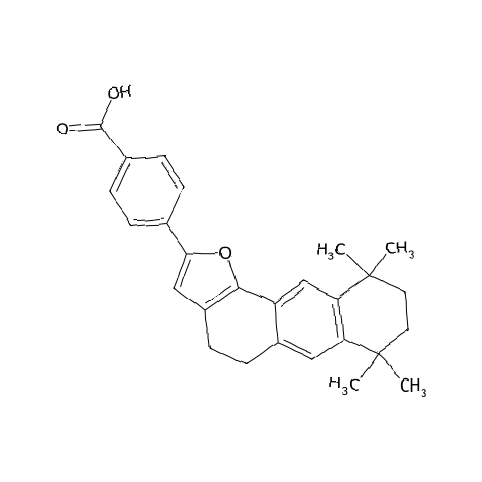 CC1(C)CCC(C)(C)c2cc3c(cc21)CCc1cc(-c2ccc(C(=O)O)cc2)oc1-3